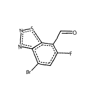 O=Cc1c(F)cc(Br)c2nnsc12